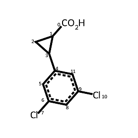 O=C(O)C1CC1c1cc(Cl)cc(Cl)c1